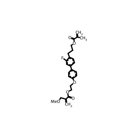 C=C(C)C(=O)OCCCc1ccc(-c2ccc(OCCOC(=O)C(=C)COC)cc2)cc1F